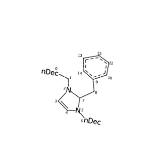 CCCCCCCCCCCN1C=CN(CCCCCCCCCC)C1Cc1ccccc1